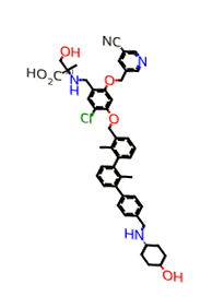 Cc1c(COc2cc(OCc3cncc(C#N)c3)c(CN[C@@](C)(CO)C(=O)O)cc2Cl)cccc1-c1cccc(-c2ccc(CN[C@H]3CC[C@H](O)CC3)cc2)c1C